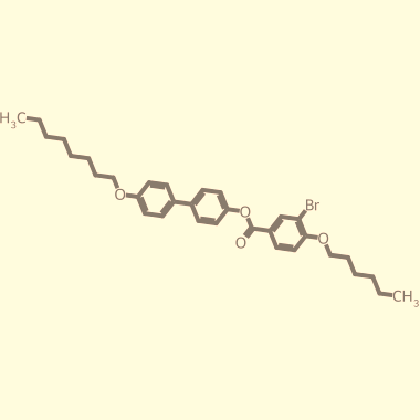 CCCCCCCCOc1ccc(-c2ccc(OC(=O)c3ccc(OCCCCCC)c(Br)c3)cc2)cc1